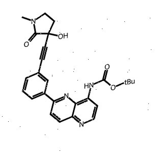 CN1CCC(O)(C#Cc2cccc(-c3ccc4nccc(NC(=O)OC(C)(C)C)c4n3)c2)C1=O